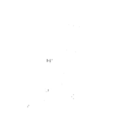 CCOC(=O)C1Cc2ccccc2N1